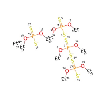 CCOP(=S)([S-])OCC.CCOP(=S)([S-])OCC.CCOP(=S)([S-])OCC.CCOP(=S)([S-])OCC.[Pt+4]